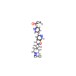 C[S+]([O-])c1ccc(-c2cc3c(cn2)OC2(C3)CC3(CCN(C=O)CC3)C2)cn1